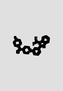 CN1CCN(C(=O)C2CCN(c3cccc(-c4nc5ccccc5n4C(F)F)c3)CC2)CC1